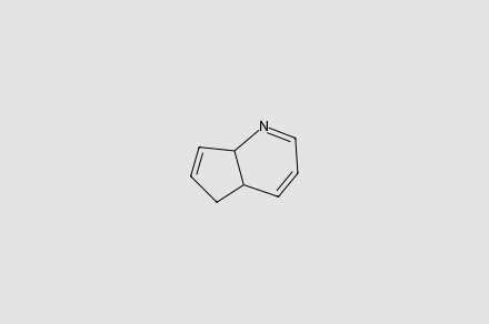 C1=CC2CC=CC2N=C1